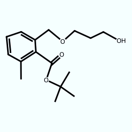 Cc1cccc(COCCCO)c1C(=O)OC(C)(C)C